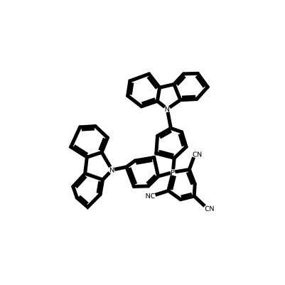 N#CC1=CC(C#N)=P(c2ccc(-n3c4ccccc4c4ccccc43)cc2)(c2ccc(-n3c4ccccc4c4ccccc43)cc2)C(C#N)=C1